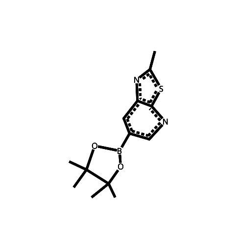 Cc1nc2cc(B3OC(C)(C)C(C)(C)O3)cnc2s1